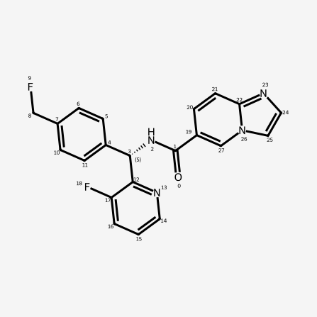 O=C(N[C@@H](c1ccc(CF)cc1)c1ncccc1F)c1ccc2nccn2c1